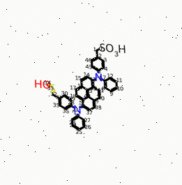 O=S(=O)(O)Cc1ccc(N(c2ccccc2)c2ccc3ccc4c(N(c5ccccc5)c5ccc(CSO)cc5)ccc5ccc2c3c54)cc1